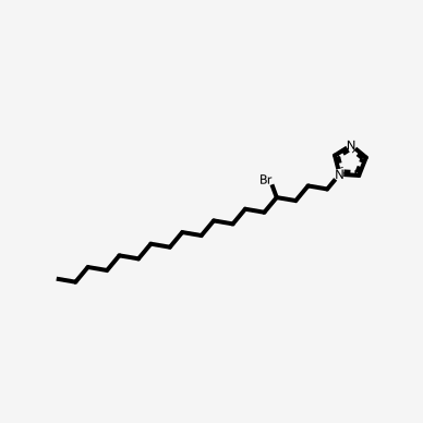 CCCCCCCCCCCCCCC(Br)CCCn1ccnc1